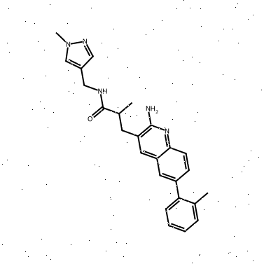 Cc1ccccc1-c1ccc2nc(N)c(CC(C)C(=O)NCc3cnn(C)c3)cc2c1